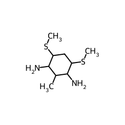 CSC1CC(SC)C(N)C(C)C1N